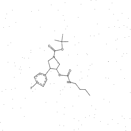 CCCCNC(=O)OC1CN(C(=O)OC(C)(C)C)CC1c1ccc(F)cc1